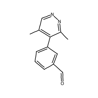 Cc1cnnc(C)c1-c1cccc(C=O)c1